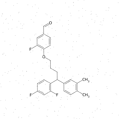 Cc1ccc(C(CCCOc2ccc(C=O)cc2F)c2ccc(F)cc2F)cc1C